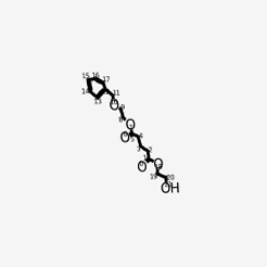 O=C(CCCC(=O)OCCOCc1ccccc1)OCCO